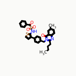 CCCCc1nc2ccc(C)cc2c(=O)n1Cc1ccc(-c2ccsc2NS(=O)(=O)C(=O)c2ccccc2)cc1